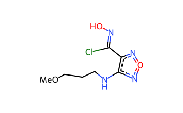 COCCCNc1nonc1/C(Cl)=N/O